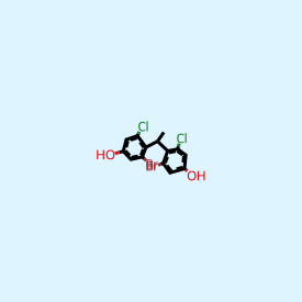 CC(c1c(Cl)cc(O)cc1Br)c1c(Cl)cc(O)cc1Br